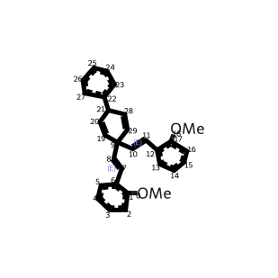 COc1ccccc1/C=C/C1(/C=C/c2ccccc2OC)C=CC(c2ccccc2)C=C1